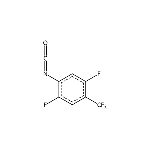 O=C=Nc1cc(F)c(C(F)(F)F)cc1F